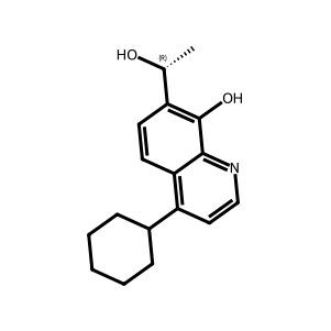 C[C@@H](O)c1ccc2c(C3CCCCC3)ccnc2c1O